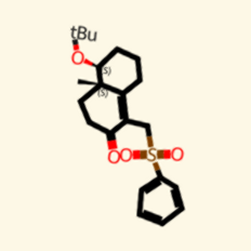 CC(C)(C)O[C@H]1CCCC2=C(CS(=O)(=O)c3ccccc3)C(=O)CC[C@@]21C